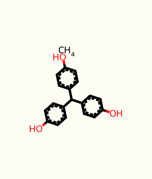 C.Oc1ccc(C(c2ccc(O)cc2)c2ccc(O)cc2)cc1